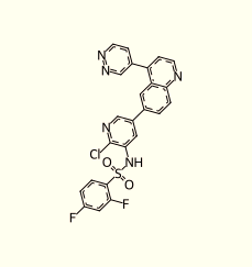 O=S(=O)(Nc1cc(-c2ccc3nccc(-c4ccnnc4)c3c2)cnc1Cl)c1ccc(F)cc1F